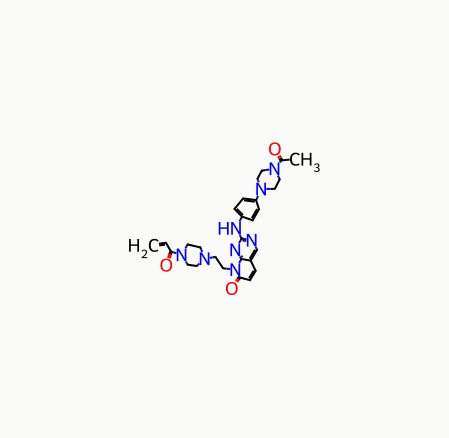 C=CC(=O)N1CCN(CCn2c(=O)ccc3cnc(Nc4ccc(N5CCN(C(C)=O)CC5)cc4)nc32)CC1